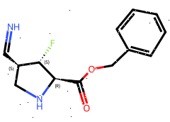 N=C[C@@H]1CN[C@H](C(=O)OCc2ccccc2)[C@H]1F